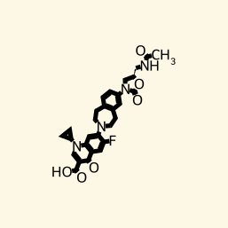 CC(=O)NC[C@H]1CN(c2ccc3c(c2)CCN(c2cc4c(cc2F)c(=O)c(C(=O)O)cn4C2CC2)CC3)C(=O)O1